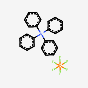 F[P-](F)(F)(F)(F)F.c1ccc([N+](c2ccccc2)(c2ccccc2)c2ccccc2)cc1